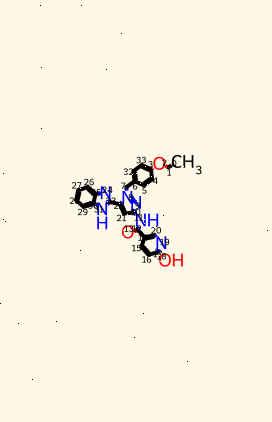 CCOc1ccc(Cn2nc(NC(=O)c3ccc(O)nc3)cc2-c2nc3ccccc3[nH]2)cc1